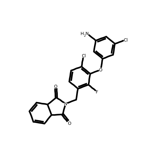 Nc1cc(Cl)cc(Oc2c(Cl)ccc(CN3C(=O)C4C=CC=CC4C3=O)c2F)c1